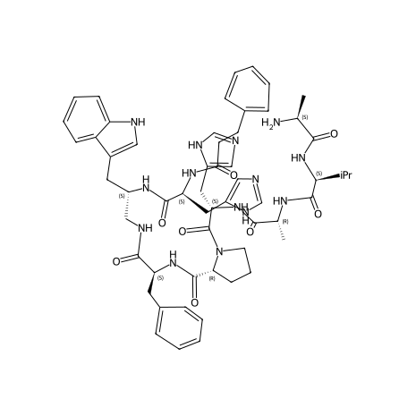 CC(C)[C@H](NC(=O)[C@H](C)N)C(=O)N[C@H](C)C(=O)N[C@@H](Cc1cnc[nH]1)C(=O)N1CCC[C@@H]1C(=O)N[C@@H](Cc1ccccc1)C(=O)NC[C@H](Cc1c[nH]c2ccccc12)NC(=O)[C@H](Cc1cnc[nH]1)NC(=O)CCc1ccccc1